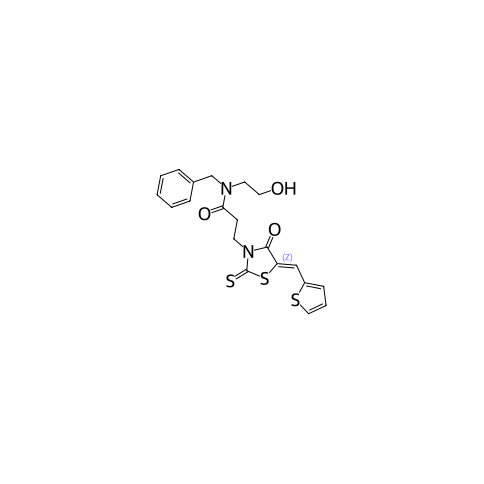 O=C(CCN1C(=O)/C(=C/c2cccs2)SC1=S)N(CCO)Cc1ccccc1